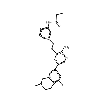 CCC(=O)Nc1cc(COc2nc(-c3cc(C)c4c(c3)CN(C)CC4)cnc2N)ccn1